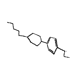 CC[CH]c1ccc(C2CCC(CCCCC)CC2)cc1